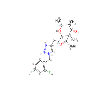 C=C1C(=O)C(C)(C(=O)OC)C(CCc2cn(Cc3ccc(F)cc3F)nn2)OC1C